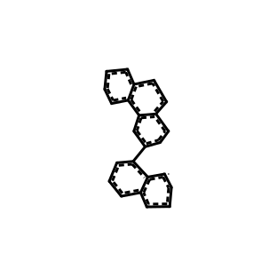 [c]1cccc2cccc(-c3ccc4ccc5ccccc5c4c3)c12